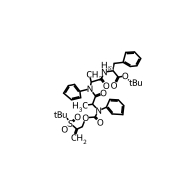 C=C(COC(=O)N(c1ccccc1)C(C)C(=O)N(c1ccccc1)C(C)C(=O)N[C@@H](Cc1ccccc1)C(=O)OC(C)(C)C)S(=O)(=O)C(C)(C)C